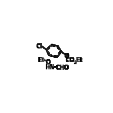 CCOC(=O)Oc1ccc(Cl)cc1.CCONC=O